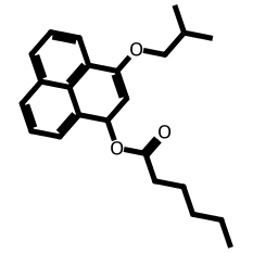 CCCCCC(=O)OC1C=C(OCC(C)C)c2cccc3cccc1c23